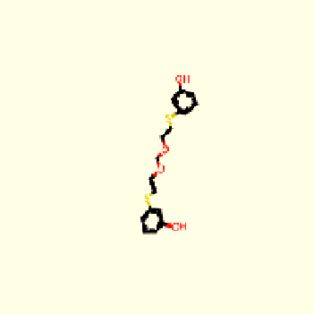 Oc1cccc(SCCOCOCCSc2cccc(O)c2)c1